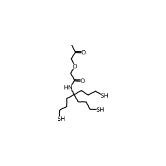 CC(=O)COCC(=O)NC(CCCS)(CCCS)CCCS